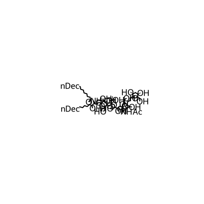 CCCCCCCCCCCCCCCCCC(=O)NC(COC1OC(CO)C(OC(OC(CO)C(O)C[C@@H]2OC(CO)C3(CCCC4OC(CO)[C@H](O)C[C@@H]4O)OC(C2NC(C)=O)C3O)C(O)[C@@H](C)O)C(O)C1O)C(O)CCCCCCCCCCCCCCC